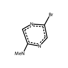 CNc1cnc(Br)cn1